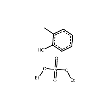 CCOS(=O)(=O)OCC.Cc1ccccc1O